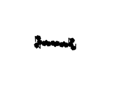 CC1(C)c2cc(-c3cc(-c4ccccn4)cc(-c4ccccn4)c3)ccc2-c2ccc(-c3ccc4c(c3)C(C)(C)c3cc(-c5ccc6c(c5)C(C)(C)c5cc(-c7cc(-c8ccccn8)cc(-c8ccccn8)c7)ccc5-6)ccc3-4)cc21